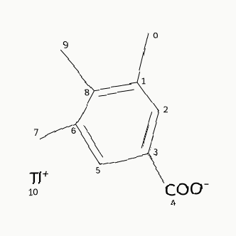 Cc1cc(C(=O)[O-])cc(C)c1C.[Tl+]